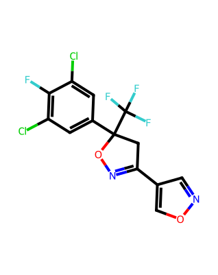 Fc1c(Cl)cc(C2(C(F)(F)F)CC(c3cnoc3)=NO2)cc1Cl